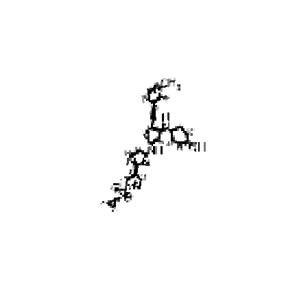 Cn1cnc(C#Cc2cnc(Nc3ccnc(-c4cnn(S(=O)(=O)C5CC5)c4)n3)cc2N[C@H]2CC[C@@H](O)CC2)c1